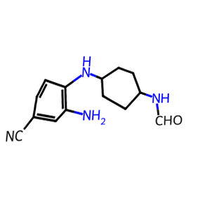 N#Cc1ccc(NC2CCC(NC=O)CC2)c(N)c1